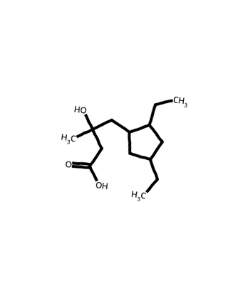 CCC1CC(CC)C(CC(C)(O)CC(=O)O)C1